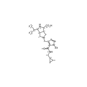 CCn1ncc(CN2CC3C(C(=O)O)NC(C(C(F)(F)F)C(F)(F)F)C3C2)c1C(=O)NCC1CC1